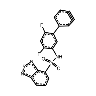 O=S(=O)(Nc1cc(-c2cc#ccc2)c(F)cc1F)c1cccc2nsnc12